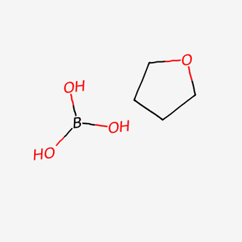 C1CCOC1.OB(O)O